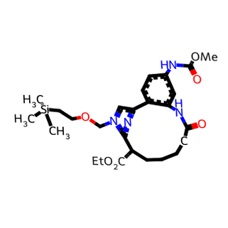 CCOC(=O)C1CCCCC(=O)Nc2cc(NC(=O)OC)ccc2-c2cn(COCC[Si](C)(C)C)c1n2